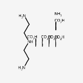 CC(=O)O.CC(=O)O.CC(=O)O.CC(=O)O.CC(=O)O.N.NCCNCCN